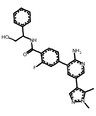 Cc1c(-c2cnc(N)c(-c3ccc(C(=O)NC(CO)c4ccccc4)c(F)c3)c2)cnn1C